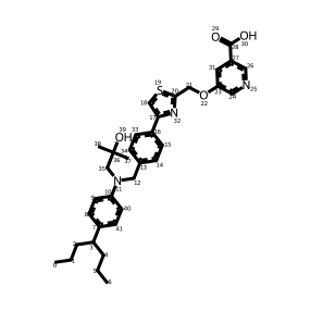 CCCC(CCC)c1ccc(N(Cc2ccc(-c3csc(COc4cncc(C(=O)O)c4)n3)cc2)CC(C)(C)O)cc1